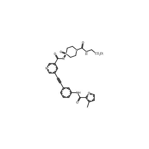 CCOC(=O)CNC(=O)N1CCS(=O)(=NC(=O)c2cncc(C#Cc3cccc(NC(=O)c4occc4C)c3)c2)CC1